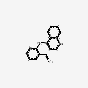 C=Cc1ccccc1Nc1ccnc2ccccc12